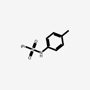 Cc1ccc(NS(=O)(=O)C(C)C)cc1